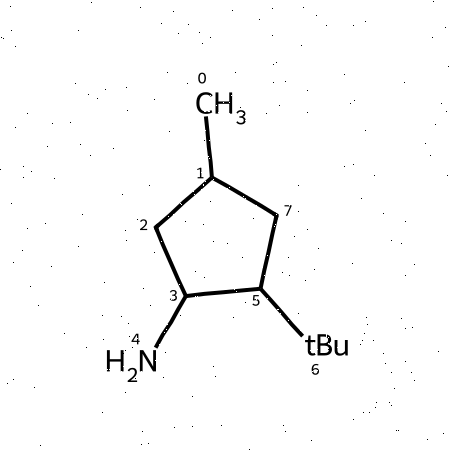 CC1CC(N)C(C(C)(C)C)C1